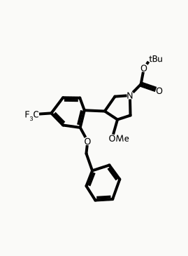 COC1CN(C(=O)OC(C)(C)C)CC1c1ccc(C(F)(F)F)cc1OCc1ccccc1